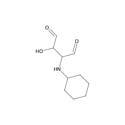 O=CC(O)C(C=O)NC1CCCCC1